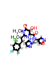 C[C@H](c1nc(C(=O)Nc2cnoc2)c(O)c(=O)n1C)[C@H](c1cnn(C)c1)c1cc(F)c(F)cc1Cl